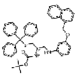 CC(C)(C)OC(=O)N[C@H](CNc1cccc(OCc2cccc3ccccc23)c1)CSC(c1ccccc1)(c1ccccc1)c1ccccc1